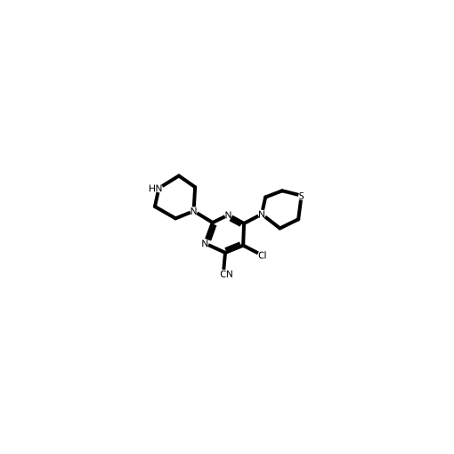 N#Cc1nc(N2CCNCC2)nc(N2CCSCC2)c1Cl